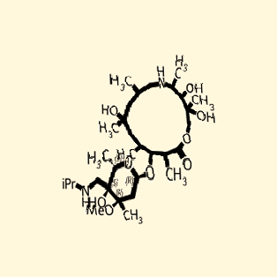 CO[C@]1(C)C[C@H](OC2C(C)CC(C)(O)CC(C)CNC(C)C(O)C(C)(O)COC(=O)C2C)O[C@@H](C)[C@@]1(O)CNC(C)C